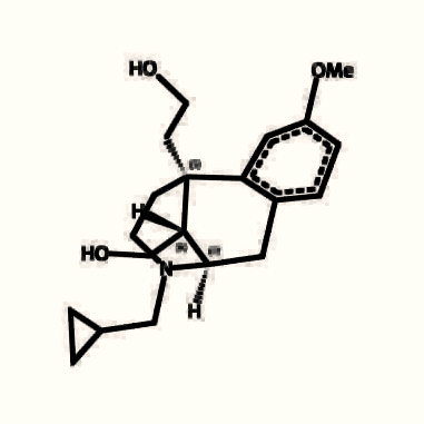 COc1ccc2c(c1)[C@]1(CCO)CCN(CC3CC3)[C@H](C2)[C@@H]1CO